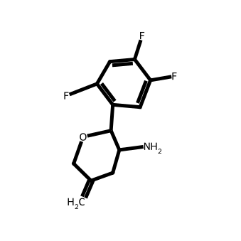 C=C1COC(c2cc(F)c(F)cc2F)C(N)C1